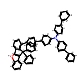 c1ccc(-c2ccc(N(c3ccc(-c4ccccc4)cc3)c3ccc(-c4ccc(-c5cccc6c5C(c5ccccc5)(c5ccccc5)c5c-6oc6ccccc56)cc4)cc3)cc2)cc1